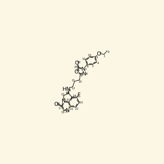 CCOc1ccc(-n2nc(CCCN[C@@H]3Cn4c(=O)cnc5ccc(F)c3c54)oc2=O)cc1